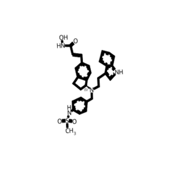 CS(=O)(=O)Nc1ccc(CN(CCc2c[nH]c3ccccc23)[C@H]2CCc3cc(C=CC(=O)NO)ccc32)cc1